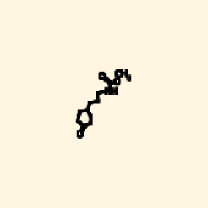 COC(=O)NCCCC1CCC(=O)CC1